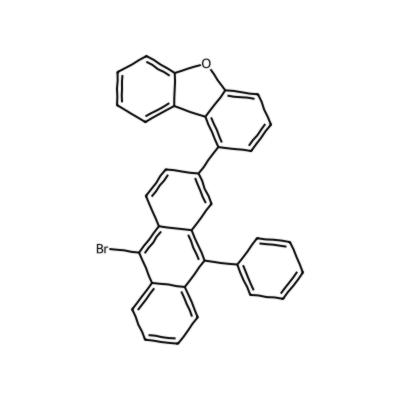 Brc1c2ccccc2c(-c2ccccc2)c2cc(-c3cccc4oc5ccccc5c34)ccc12